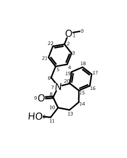 COc1ccc(CN2C(=O)C(CO)CCc3ccccc32)cc1